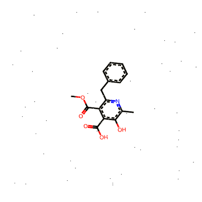 COC(=O)c1c(Cc2ccccc2)nc(C)c(O)c1C(=O)O